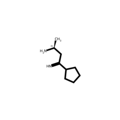 C[C@H](N)CC(=N)C1CCCC1